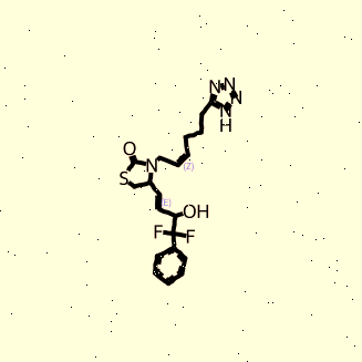 O=C1SCC(/C=C/C(O)C(F)(F)c2ccccc2)N1C/C=C\CCCc1nnn[nH]1